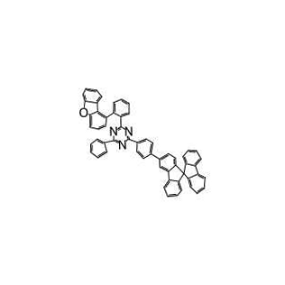 c1ccc(-c2nc(-c3ccc(-c4ccc5c(c4)-c4ccccc4C54c5ccccc5-c5ccccc54)cc3)nc(-c3ccccc3-c3cccc4oc5ccccc5c34)n2)cc1